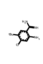 CC(C)(C)c1cc(C(=N)N)c(N)cc1Cl